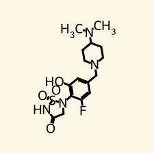 CN(C)C1CCN(Cc2cc(O)c(N3CC(=O)NS3(=O)=O)c(F)c2)CC1